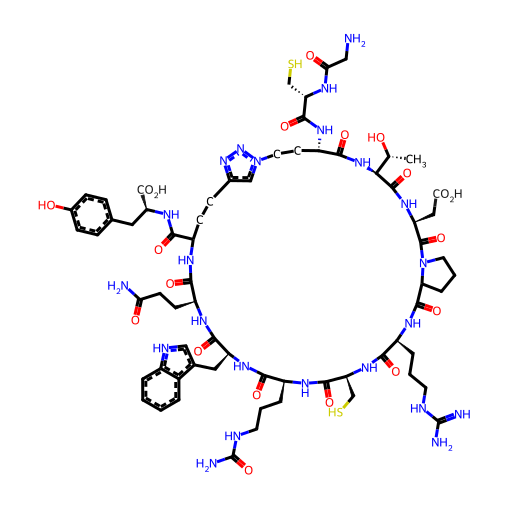 C[C@@H](O)[C@@H]1NC(=O)[C@@H](NC(=O)[C@H](CS)NC(=O)CN)CCn2cc(nn2)CCC(C(=O)N[C@@H](Cc2ccc(O)cc2)C(=O)O)NC(=O)[C@H](CCC(N)=O)NC(=O)[C@H](Cc2c[nH]c3ccccc23)NC(=O)[C@H](CCCNC(N)=O)NC(=O)[C@H](CS)NC(=O)[C@H](CCCNC(=N)N)NC(=O)C2CCCN2C(=O)[C@H](CC(=O)O)NC1=O